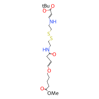 COC(=O)CCCCOC=CCC(=O)NCCSSCCNC=CC(=O)OC(C)(C)C